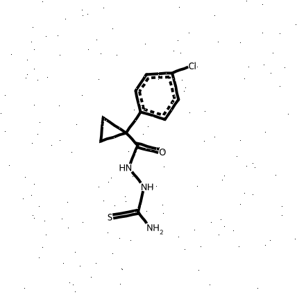 NC(=S)NNC(=O)C1(c2ccc(Cl)cc2)CC1